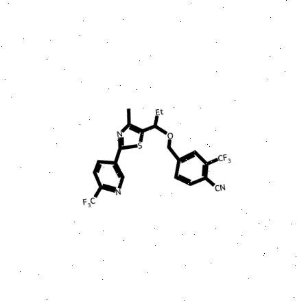 CCC(OCc1ccc(C#N)c(C(F)(F)F)c1)c1sc(-c2ccc(C(F)(F)F)nc2)nc1C